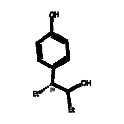 CCC(O)[C@H](CC)c1ccc(O)cc1